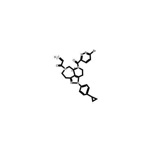 C=CC(=O)N1CCc2nn(-c3ccc(C4CC4)cc3)c3c2[C@@H](C1)N(C(=O)c1ccc(Br)nn1)CC3